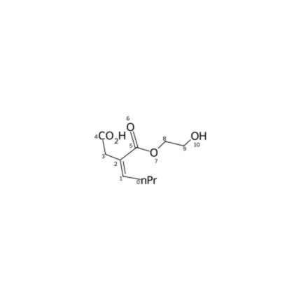 CCCC=C(CC(=O)O)C(=O)OCCO